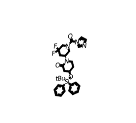 CC(C)(C)[Si](OC1CCN([C@H]2CN(C(=O)n3ccnc3)CC(F)(F)C2)C(=O)C1)(c1ccccc1)c1ccccc1